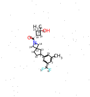 Cc1cc(C(F)F)cc(C2CCC3(C2)CN(C(=O)[C@H]2C[C@@](C)(O)C2)C3)c1